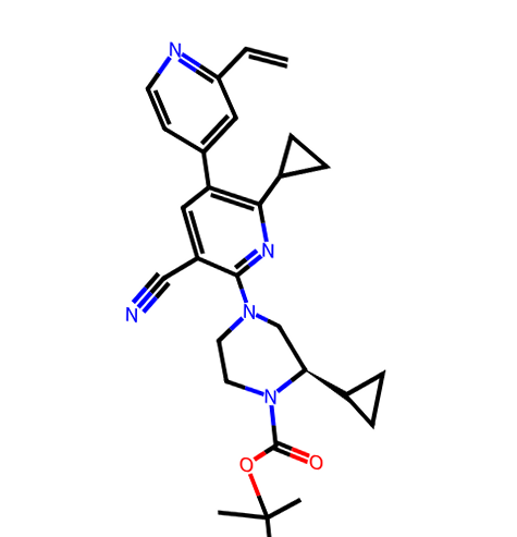 C=Cc1cc(-c2cc(C#N)c(N3CCN(C(=O)OC(C)(C)C)[C@H](C4CC4)C3)nc2C2CC2)ccn1